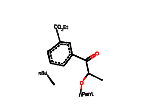 CCCCC.CCCCCOC(C)C(=O)c1cccc(C(=O)OCC)c1